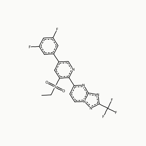 CCS(=O)(=O)c1cc(-c2cc(F)cc(F)c2)cnc1-c1ccn2nc(C(F)(F)F)nc2n1